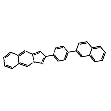 c1ccc2cc(-c3ccc(-c4cc5cc6ccccc6cn5n4)cc3)ccc2c1